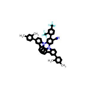 Cc1ccc(-c2ccc3c(c2)c2ccccc2n3-c2cc(C#N)c(-c3ccc(C(F)(F)F)cc3C(F)(F)F)cc2-n2c3ccccc3c3cc(-c4ccc(C)cc4C)ccc32)c(C)c1